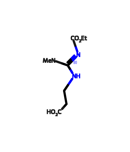 CCOC(=O)/N=C(\NC)NCCC(=O)O